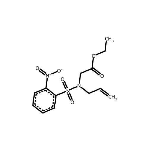 C=CCN(CC(=O)OCC)S(=O)(=O)c1ccccc1[N+](=O)[O-]